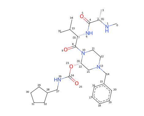 CN[C@@H](C)C(=O)N[C@H](C(=O)N1CCN(Cc2ccccc2)C[C@@H]1OC(=O)NCC1CCCC1)C(C)C